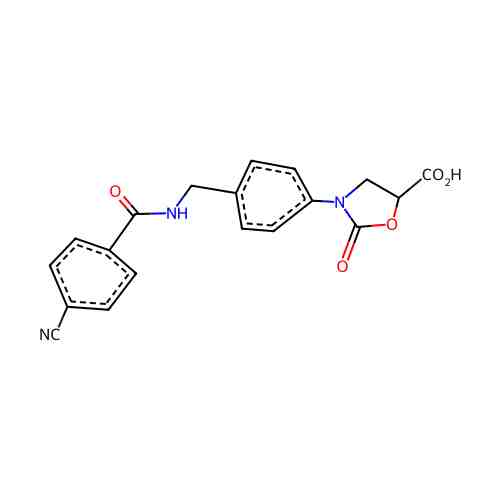 N#Cc1ccc(C(=O)NCc2ccc(N3CC(C(=O)O)OC3=O)cc2)cc1